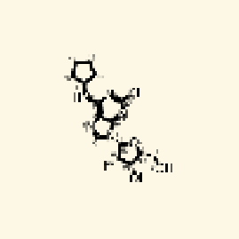 OC[C@H]1O[C@@H](n2cnc3c(NC4CCCC4)nc(Cl)nc32)[C@@H](F)[C@@H]1O